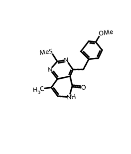 COc1ccc(Cc2nc(SC)nc3c(C)c[nH]c(=O)c23)cc1